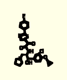 O=C(N[C@H](CN1CCCC1)[C@H](O)c1ccc(OC2CC2)c(Cl)c1)C(=O)c1cnc(-c2ccc(F)cc2)s1